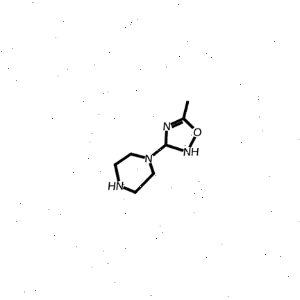 CC1=NC(N2CCNCC2)NO1